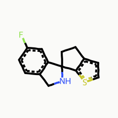 Fc1ccc2c(c1)C1(CCc3ccsc31)NC2